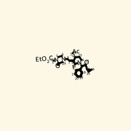 CCOC(=O)CN1CCN(C/C=C2/CN(C(C(=O)C3CC3)c3ccccc3F)CCC2SC(C)=O)CC1=O